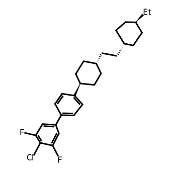 CC[C@H]1CC[C@H](CC[C@H]2CC[C@H](c3ccc(-c4cc(F)c(Cl)c(F)c4)cc3)CC2)CC1